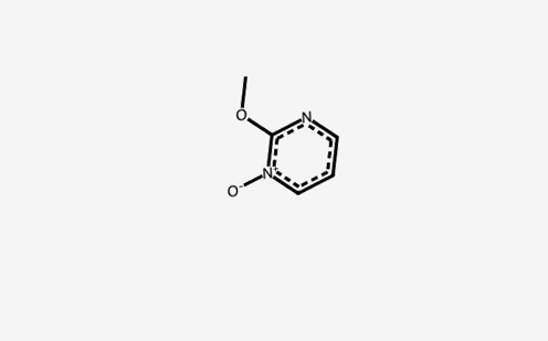 COc1nccc[n+]1[O-]